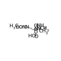 CCN(CC)C(C(N)=O)n1cc(CCCCN2CCN(c3ccc(OC)cc3)CC2)c2cc(C(=O)O)ccc21